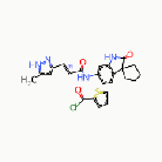 Cc1cc(/C=C/C(=O)Nc2ccc3c(c2)NC(=O)C32CCCC2)n[nH]1.O=C(Cl)c1cccs1